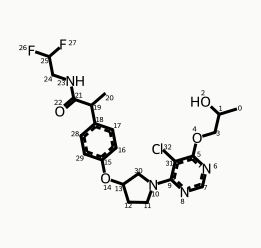 CC(O)COc1ncnc(N2CCC(Oc3ccc(C(C)C(=O)NCC(F)F)cc3)C2)c1Cl